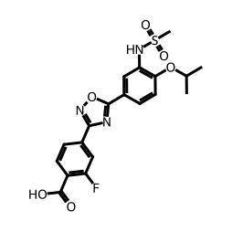 CC(C)Oc1ccc(-c2nc(-c3ccc(C(=O)O)c(F)c3)no2)cc1NS(C)(=O)=O